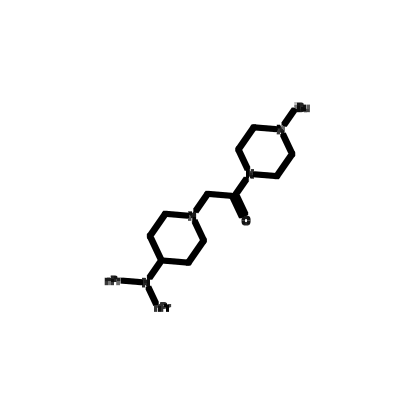 CCCN(CCC)C1CCN(CC(=O)N2CCN(C(C)CC)CC2)CC1